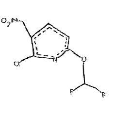 O=[N+]([O-])c1ccc(OC(F)F)nc1Cl